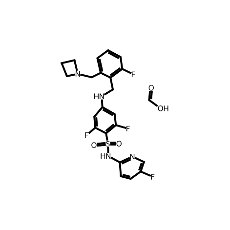 O=CO.O=S(=O)(Nc1ccc(F)cn1)c1c(F)cc(NCc2c(F)cccc2CN2CCC2)cc1F